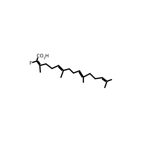 CC(C)=CCC/C(C)=C/CC/C(C)=C/CC/C(C)=C(/F)C(=O)O